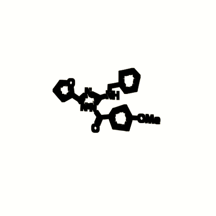 COc1ccc(C(=O)n2nc(-c3ccco3)nc2NCc2ccccc2)cc1